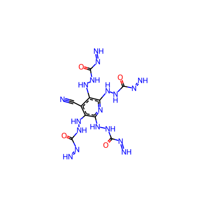 N#Cc1c(NNC(=O)N=N)c(NNC(=O)N=N)nc(NNC(=O)N=N)c1NNC(=O)N=N